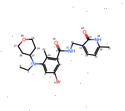 CCN(c1cc(Br)cc(C(=O)NCc2ccc(C)[nH]c2=O)c1C)C1CCOCC1